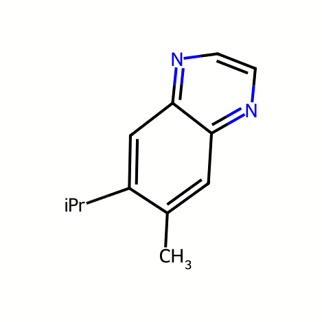 Cc1cc2nccnc2cc1C(C)C